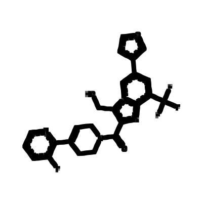 O=C(c1nc2c(C(F)(F)F)cc(-c3ccoc3)cn2c1CO)N1CC=C(c2ncccc2F)CC1